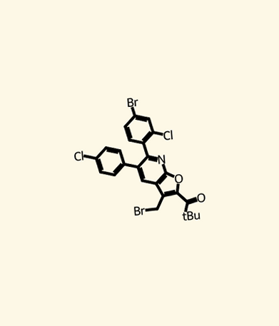 CC(C)(C)C(=O)c1oc2nc(-c3ccc(Br)cc3Cl)c(-c3ccc(Cl)cc3)cc2c1CBr